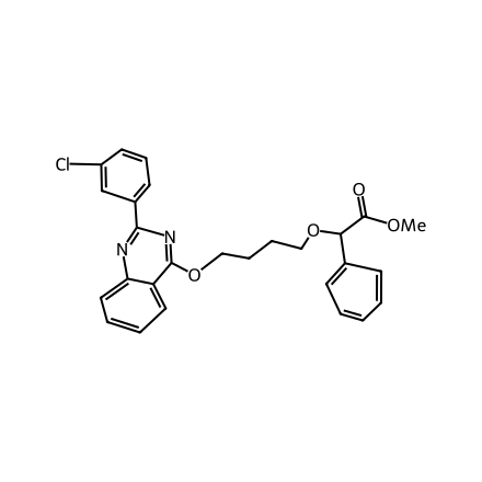 COC(=O)C(OCCCCOc1nc(-c2cccc(Cl)c2)nc2ccccc12)c1ccccc1